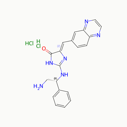 Cl.Cl.NC[C@H](NC1=N/C(=C\c2ccc3nccnc3c2)C(=O)N1)c1ccccc1